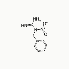 N=C(N)N(Cc1ccccc1)[N+](=O)[O-]